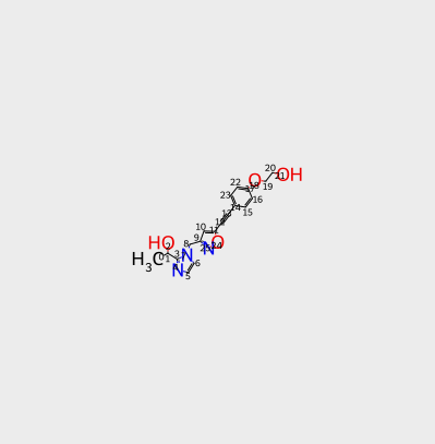 CC(O)c1nccn1Cc1cc(C#Cc2ccc(OCCO)cc2)on1